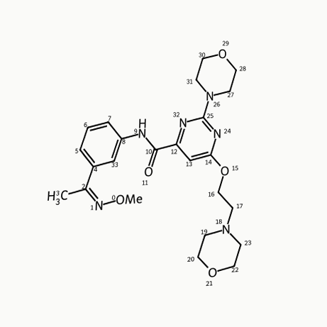 CO/N=C(/C)c1cccc(NC(=O)c2cc(OCCN3CCOCC3)nc(N3CCOCC3)n2)c1